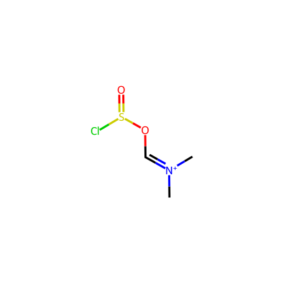 C[N+](C)=COS(=O)Cl